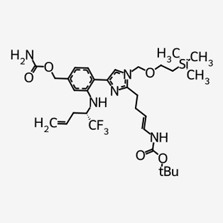 C=CC[C@H](Nc1cc(COC(N)=O)ccc1-c1cn(COCC[Si](C)(C)C)c(CCC=CNC(=O)OC(C)(C)C)n1)C(F)(F)F